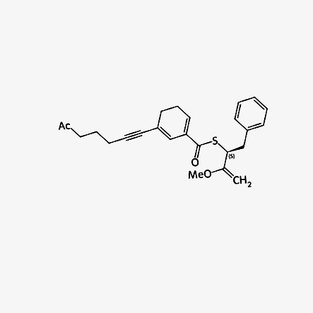 C=C(OC)[C@H](Cc1ccccc1)SC(=O)C1=CCCC(C#CCCCC(C)=O)=C1